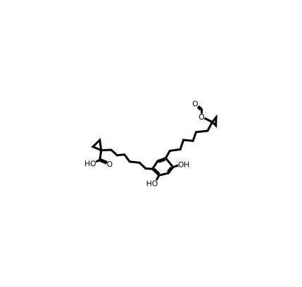 O=COC1(CCCCCCc2cc(CCCCCCC3(C(=O)O)CC3)c(O)cc2O)CC1